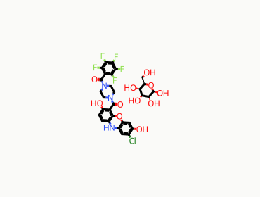 O=C(c1c(F)c(F)c(F)c(F)c1F)N1CCN(C(=O)c2c(O)ccc3c2Oc2cc(O)c(Cl)cc2N3)CC1.OC[C@H]1O[C@@H](O)[C@H](O)[C@@H](O)[C@H]1O